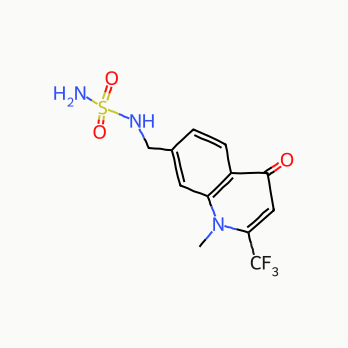 Cn1c(C(F)(F)F)cc(=O)c2ccc(CNS(N)(=O)=O)cc21